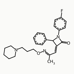 CC(C=C1C(=O)N(c2ccc(F)cc2)C1c1ccccc1)=NOCCCN1CCCCC1